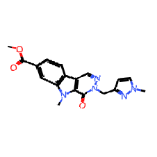 COC(=O)c1ccc2c3cnn(Cc4ccn(C)n4)c(=O)c3n(C)c2c1